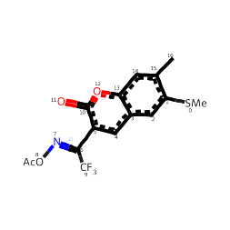 CSc1cc2cc(/C(=N/OC(C)=O)C(F)(F)F)c(=O)oc2cc1C